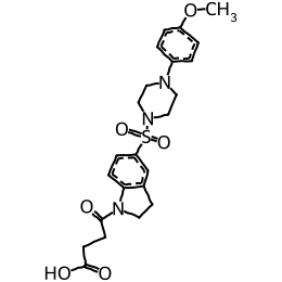 COc1ccc(N2CCN(S(=O)(=O)c3ccc4c(c3)CCN4C(=O)CCC(=O)O)CC2)cc1